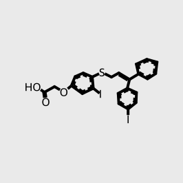 O=C(O)COc1ccc(SC/C=C(/c2ccccc2)c2ccc(I)cc2)c(I)c1